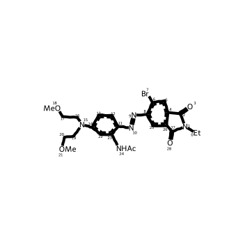 CCN1C(=O)c2cc(Br)c(N=Nc3ccc(N(CCOC)CCOC)cc3NC(C)=O)cc2C1=O